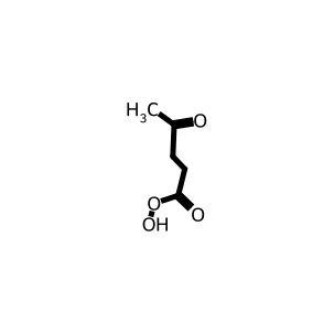 CC(=O)CCC(=O)OO